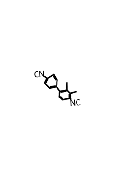 [C-]#[N+]c1ccc(-c2ccc([N+]#[C-])c(C)c2C)cc1